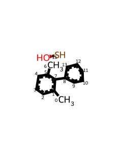 Cc1cccc(C)c1-c1cc[c]cc1.OS